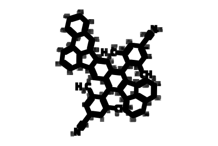 Cc1cc(C#N)cc(C)c1-c1c2cc3c(cc2c(-c2c(C)cc(C#N)cc2C)c2c4cccc5cccc(c12)c54)c1cc2ccccc2c2cccc3c21